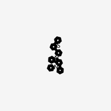 c1ccc(-n2c3ccccc3c3ccc4c(c5ccccc5n4-c4cccc(-c5cccc6c5sc5ccccc56)c4)c32)cc1